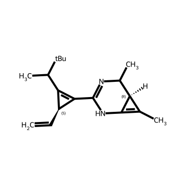 C=C[C@@H]1C(C2=NC(C)[C@H]3C(C)=C3N2)=C1C(C)C(C)(C)C